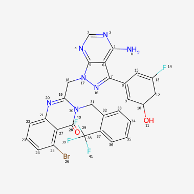 Nc1ncnc2c1c(C1=CC(O)CC(F)=C1)nn2Cc1nc2cccc(Br)c2c(=O)n1Cc1ccccc1C(F)(F)F